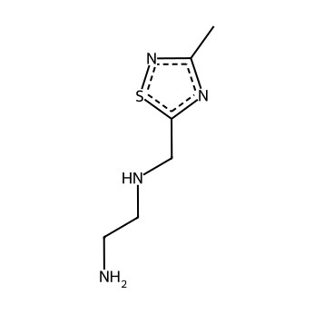 Cc1nsc(CNCCN)n1